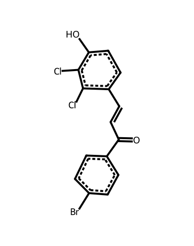 O=C(C=Cc1ccc(O)c(Cl)c1Cl)c1ccc(Br)cc1